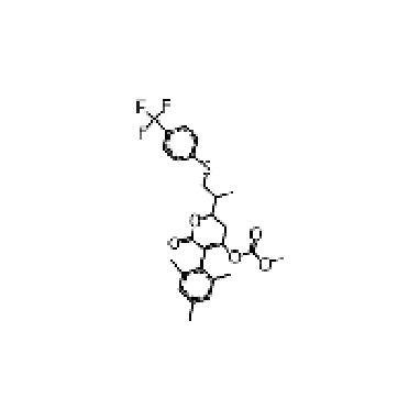 COC(=O)OC1=C(c2c(C)cc(C)cc2C)C(=O)OC(C(C)CSc2ccc(C(F)(F)F)cc2)C1